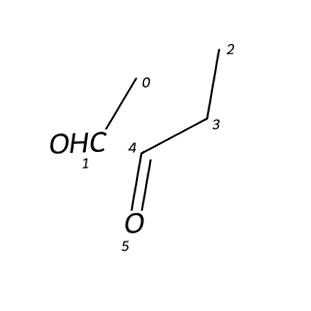 CC=O.CCC=O